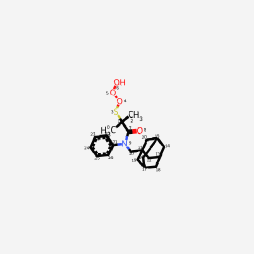 CC(C)(SOOO)C(=O)N(CC12CC3CC(CC(C3)C1)C2)c1ccccc1